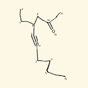 CCCCC#CC(CC)CC(C)=O